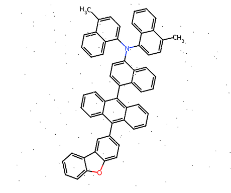 Cc1ccc(N(c2ccc(C)c3ccccc23)c2ccc(-c3c4ccccc4c(-c4ccc5oc6ccccc6c5c4)c4ccccc34)c3ccccc23)c2ccccc12